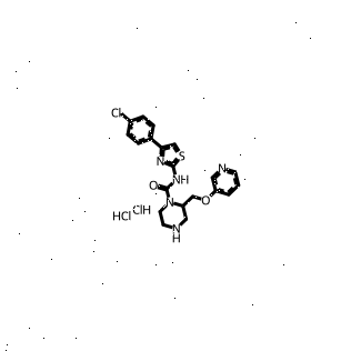 Cl.Cl.O=C(Nc1nc(-c2ccc(Cl)cc2)cs1)N1CCNCC1COc1cccnc1